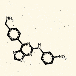 NCc1ccc(-c2nc(Nc3cccc([N+](=O)[O-])c3)nc3[nH]cnc23)cc1